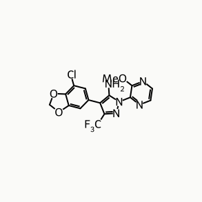 COc1nccnc1-n1nc(C(F)(F)F)c(-c2cc(Cl)c3c(c2)OCO3)c1N